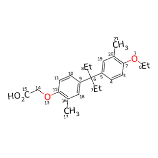 CCOc1ccc(C(CC)(CC)c2ccc(OCC(=O)O)c(C)c2)cc1C